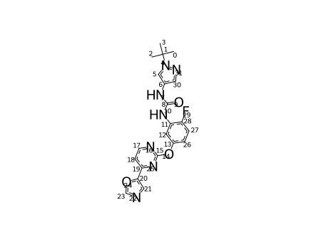 CC(C)(C)n1cc(NC(=O)Nc2cc(Oc3nccc(-c4cnco4)n3)ccc2F)cn1